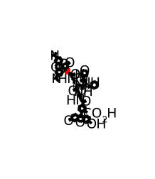 CN(C)c1ccc2c(c1)Oc1cc(N(C)C)ccc1C21OC(=O)c2cc(C(=O)NCC[C@H](NC(=O)[C@H](CC3CCCCC3)NC(=O)N3CCOCC3)C(=O)NCCNC(=O)c3ccc(-c4c5ccc(=O)cc-5oc5cc(O)ccc45)c(C(=O)O)c3)ccc21